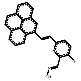 ON=Cc1nc(/C=C/c2cc3cccc4ccc5cccc2c5c43)ccc1F